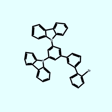 Brc1ccccc1-c1cccc(-c2cc(-n3c4ccccc4c4ccccc43)cc(-n3c4ccccc4c4ccccc43)c2)c1